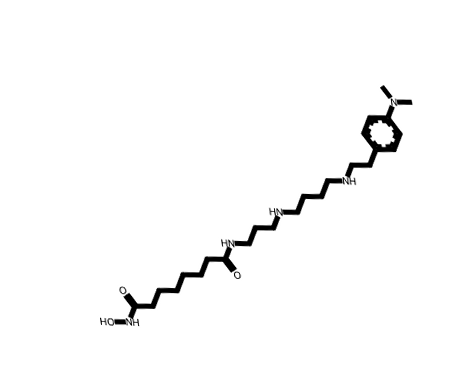 CN(C)c1ccc(CCNCCCCNCCCNC(=O)CCCCCCC(=O)NO)cc1